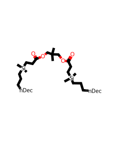 CCCCCCCCCCCCC[Si](C)(C)CCC(=O)OCC(C)(C)COC(=O)CC[Si](C)(C)CCCCCCCCCCCCC